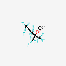 [Cs+].[O-]C(C(F)(F)F)(C(F)(F)F)C(F)(F)C(F)(F)F